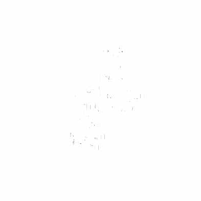 CN(C)C(=O)[C@@H](NC(=O)N[C@H](C(=O)N1C[C@H]2[C@@H]([C@H]1C(=O)NC(CC1CC1)C(=O)C(N)=O)C2(C)C)C(C)(C)C)C(C)(C)C